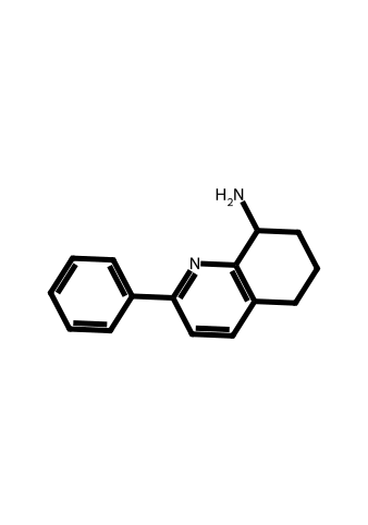 NC1CCCc2ccc(-c3ccccc3)nc21